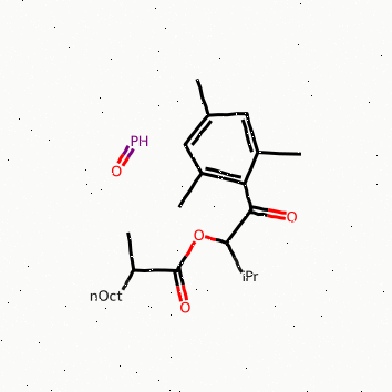 CCCCCCCCC(C)C(=O)OC(C(=O)c1c(C)cc(C)cc1C)C(C)C.O=P